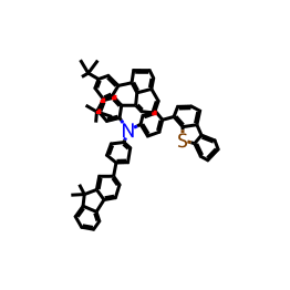 CC(C)(C)c1cc(-c2cccc3cccc(-c4ccccc4N(c4ccc(-c5ccc6c(c5)C(C)(C)c5ccccc5-6)cc4)c4ccc(-c5cccc6c5sc5ccccc56)cc4)c23)cc(C(C)(C)C)c1